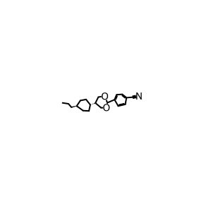 CCC[C@H]1CC[C@H](C2COC(c3ccc(C#N)cc3)OC2)CC1